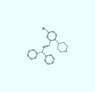 Brc1ccc(C2CCOCC2)c(/C=N/C(c2ccccc2)c2ccccc2)c1